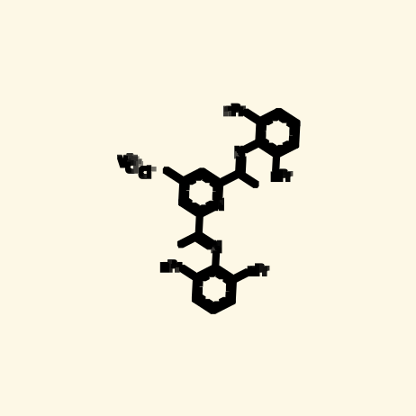 CCCc1cccc(CCC)c1N=C(C)c1cc(C)cc(C(C)=Nc2c(CCC)cccc2CCC)n1.[Cl-].[Cl-].[V+2]